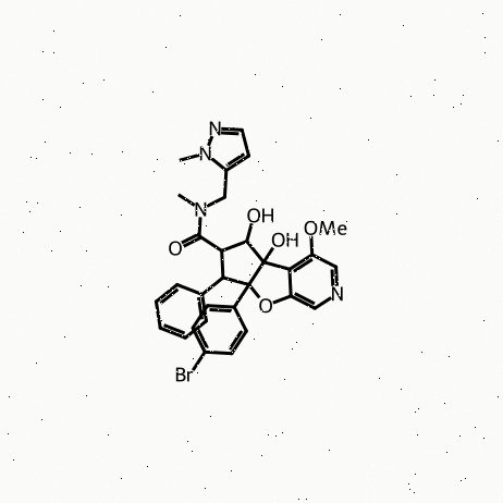 COc1cncc2c1C1(O)C(O)C(C(=O)N(C)Cc3ccnn3C)C(c3ccccc3)C1(c1ccc(Br)cc1)O2